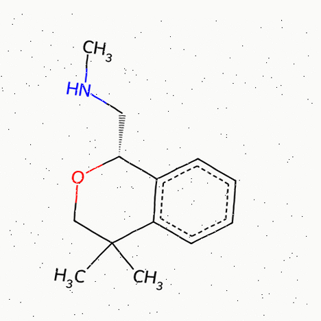 CNC[C@H]1OCC(C)(C)c2ccccc21